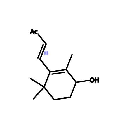 CC(=O)/C=C/C1=C(C)C(O)CCC1(C)C